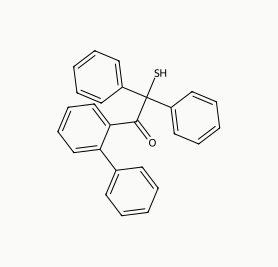 O=C(c1ccccc1-c1ccccc1)C(S)(c1ccccc1)c1ccccc1